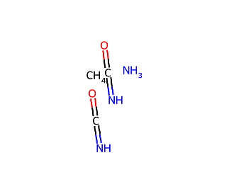 C.N.N=C=O.N=C=O